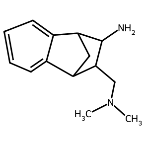 CN(C)CC1C2CC(c3ccccc32)C1N